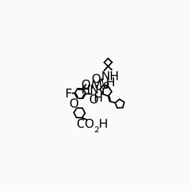 COc1cc(F)c(OC2CCC(C)(C(=O)O)CC2)cc1C(=O)N[C@H]1[C@@H](C(=O)NCC2(C)CCC2)[C@@H]2C/C(=C\C3CCCC3)[C@H]1C2